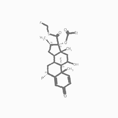 CCC(=O)O[C@@]1(C(=O)SCF)[C@H](C)CC2C3C[C@@H](F)C4=CC(=O)C=CC4(C)[C@]3(F)C(O)CC21C